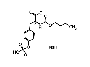 CCCCOC(=O)N[C@@H](Cc1ccc(OS(=O)(=O)O)cc1)C(=O)O.[NaH]